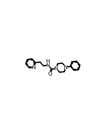 O=C(NCCc1ccccn1)N1CCN(c2ccccc2)CC1